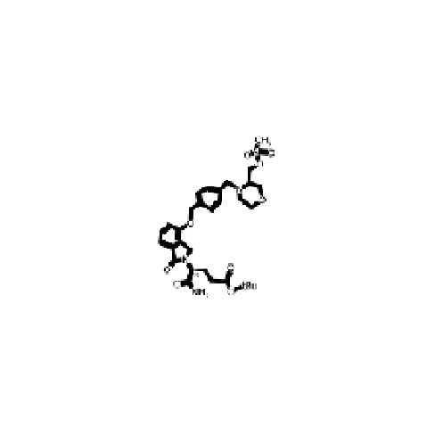 CC(C)(C)OC(=O)CC[C@@H](C(N)=O)N1Cc2c(OCc3ccc(CN4CCOCC4COS(C)(=O)=O)cc3)cccc2C1=O